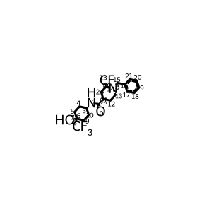 O=C(N[C@H]1CC[C@@](O)(C(F)(F)F)CC1)[C@@H]1CCN(Cc2ccccc2)[C@@H](C(F)(F)F)C1